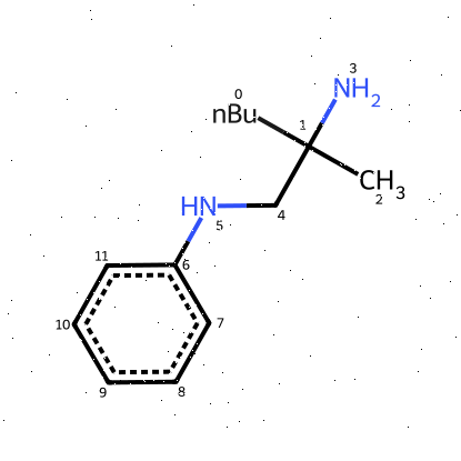 CCCCC(C)(N)CNc1ccccc1